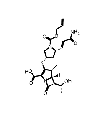 C=CCOC(=O)N1C[C@@H](SC2=C(C(=O)O)N3C(=O)[C@H]([C@@H](C)O)[C@H]3[C@H]2C)C[C@H]1/C=C/C(N)=O